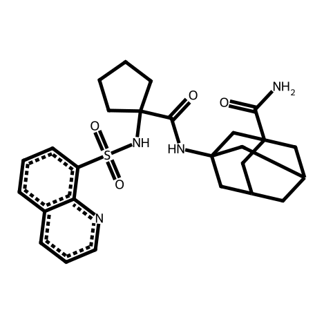 NC(=O)C12CC3CC(CC(NC(=O)C4(NS(=O)(=O)c5cccc6cccnc56)CCCC4)(C3)C1)C2